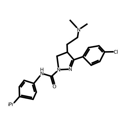 CC(C)c1ccc(NC(=O)N2CC(CCN(C)C)C(c3ccc(Cl)cc3)=N2)cc1